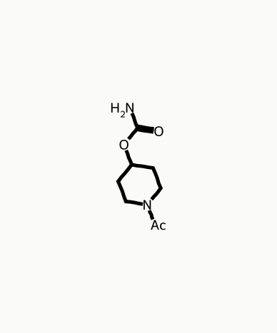 CC(=O)N1CCC(OC(N)=O)CC1